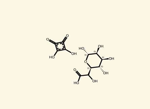 O=C(O)C(O)[C@H]1O[C@H](O)[C@@H](O)[C@@H](O)[C@@H]1O.O=c1c(O)c(O)c1=O